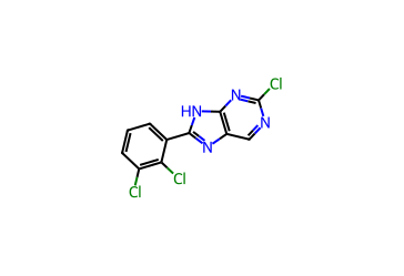 Clc1ncc2nc(-c3cccc(Cl)c3Cl)[nH]c2n1